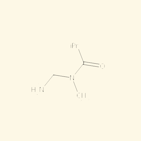 CC(C)C(=O)N(C)CN